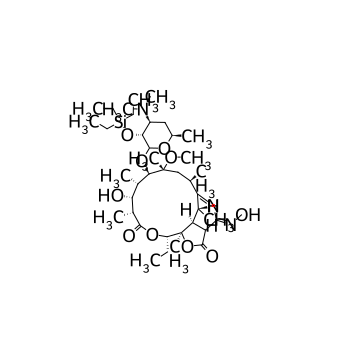 CC[C@@H]1OC(=O)[C@H](C)[C@H](O)[C@H](C)[C@@H](OC2O[C@H](C)C[C@H](N(C)C)[C@H]2O[Si](CC)(CC)CC)[C@](C)(OC)C[C@@H](C)C2=N/C(=N\O)[C@@H]3C(=O)O[C@]1(C)[C@H]3[C@H]2C